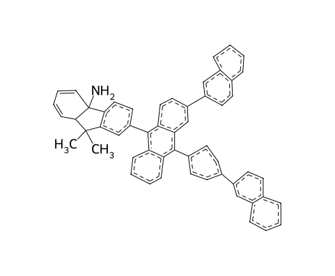 CC1(C)c2cc(-c3c4ccccc4c(-c4ccc(-c5ccc6ccccc6c5)cc4)c4cc(-c5ccc6ccccc6c5)ccc34)ccc2C2(N)C=CC=CC12